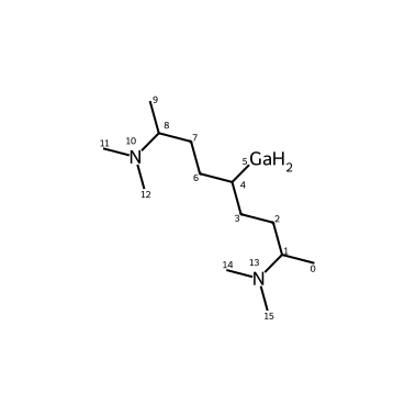 CC(CC[CH]([GaH2])CCC(C)N(C)C)N(C)C